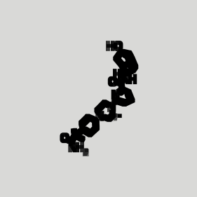 C[C@@H]1CN(c2ccc(C(C)(C)C(N)=O)cc2)CCN1c1cccc(C(=O)N[C@H]2C3CC4CC2C[C@](O)(C4)C3)n1